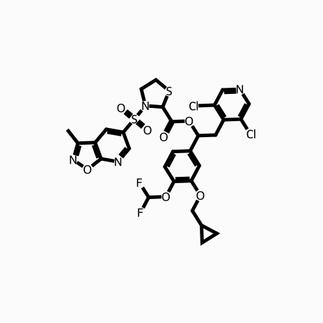 Cc1noc2ncc(S(=O)(=O)N3CCSC3C(=O)OC(Cc3c(Cl)cncc3Cl)c3ccc(OC(F)F)c(OCC4CC4)c3)cc12